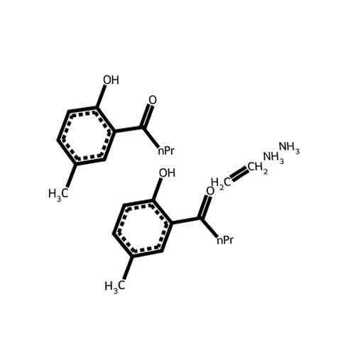 C=C.CCCC(=O)c1cc(C)ccc1O.CCCC(=O)c1cc(C)ccc1O.N.N